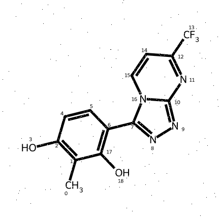 Cc1c(O)ccc(-c2nnc3nc(C(F)(F)F)ccn23)c1O